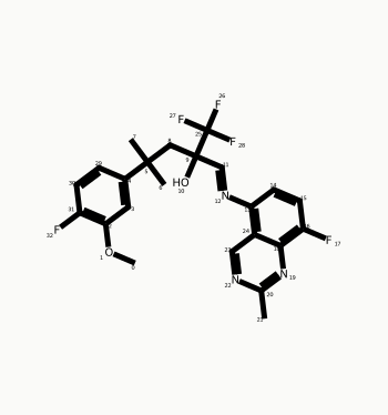 COc1cc(C(C)(C)CC(O)(C=Nc2ccc(F)c3nc(C)ncc23)C(F)(F)F)ccc1F